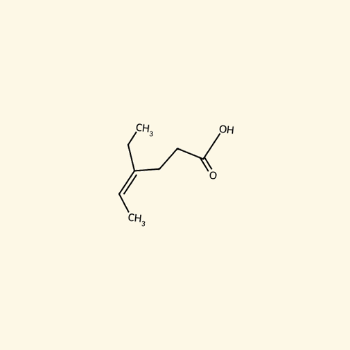 CC=C(CC)CCC(=O)O